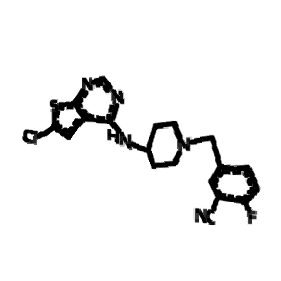 N#Cc1cc(CN2CCC(Nc3ncnc4sc(Cl)cc34)CC2)ccc1F